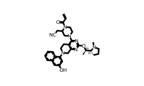 C=CC(=O)N1CCN(c2nc(O[C@H](C)[C@H]3CCCN3C)nc3c2CCN(c2cc(O)cc4ccccc24)C3)CC1CC#N